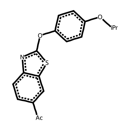 CC(=O)c1ccc2nc(Oc3ccc(OC(C)C)cc3)sc2c1